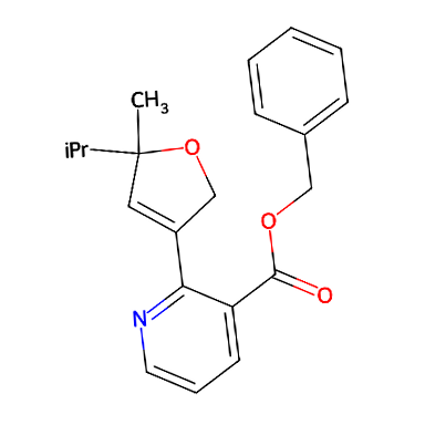 CC(C)C1(C)C=C(c2ncccc2C(=O)OCc2ccccc2)CO1